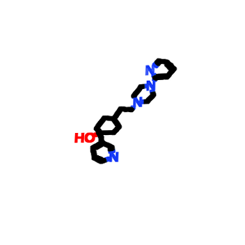 OC1(c2cccnc2)CCC(CCN2CCN(c3ccccn3)CC2)CC1